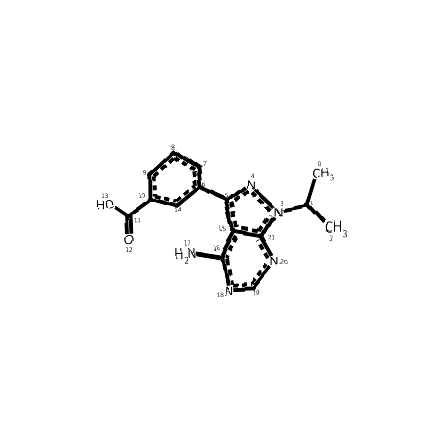 CC(C)n1nc(-c2cccc(C(=O)O)c2)c2c(N)ncnc21